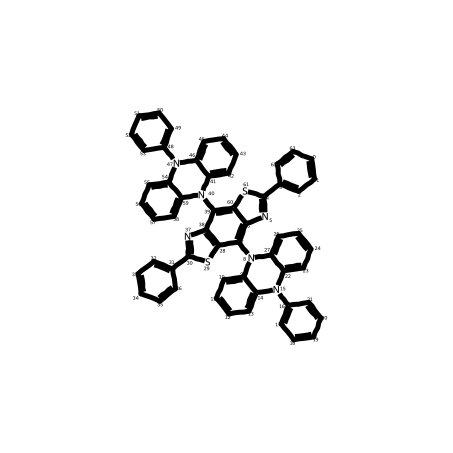 c1ccc(-c2nc3c(N4c5ccccc5N(c5ccccc5)c5ccccc54)c4sc(-c5ccccc5)nc4c(N4c5ccccc5N(c5ccccc5)c5ccccc54)c3s2)cc1